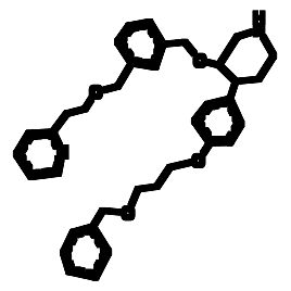 c1ccc(COCCCOc2ccc(C3CCNCC3OCc3cccc(COCCc4ccccn4)c3)cc2)cc1